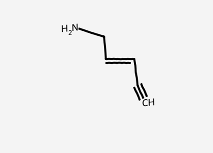 C#CC=CCN